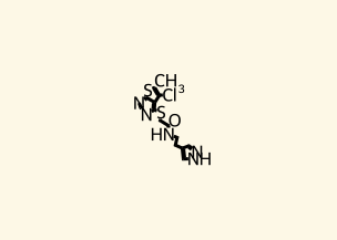 Cc1sc2ncnc(SCC(=O)NCCc3cn[nH]c3)c2c1Cl